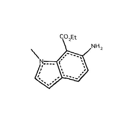 CCOC(=O)c1c(N)ccc2ccn(C)c12